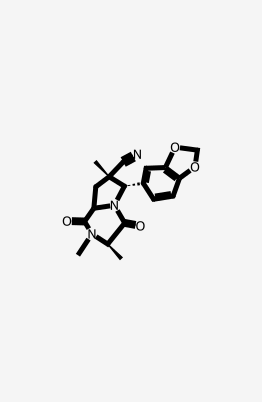 C[C@@H]1C(=O)N2C(C[C@](C)(C#N)[C@@H]2c2ccc3c(c2)OCO3)C(=O)N1C